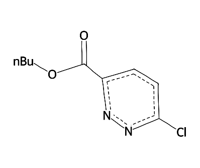 CCCCOC(=O)c1ccc(Cl)nn1